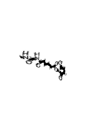 CNC(=O)NC(=O)CCCCC(=O)ON1C(=O)CCC1=O